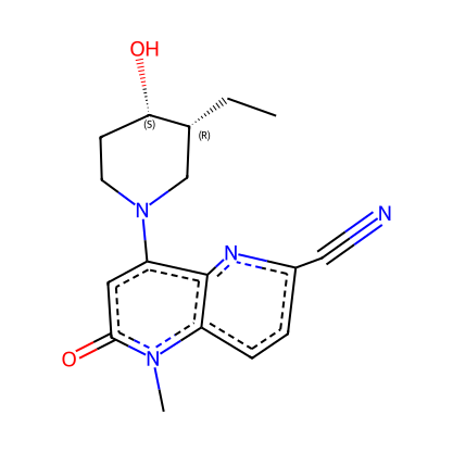 CC[C@@H]1CN(c2cc(=O)n(C)c3ccc(C#N)nc23)CC[C@@H]1O